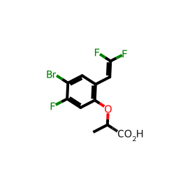 CC(Oc1cc(F)c(Br)cc1C=C(F)F)C(=O)O